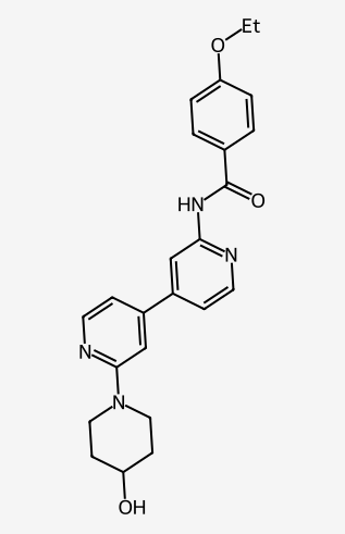 CCOc1ccc(C(=O)Nc2cc(-c3ccnc(N4CCC(O)CC4)c3)ccn2)cc1